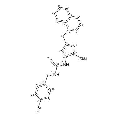 CC(C)(C)n1nc(Cc2cccc3ccccc23)cc1NC(=O)NCc1ccc(Br)cc1